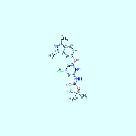 Cc1nn(C)c2cc(Oc3cc(Cl)cc(NC(=O)OC(C)(C)C)n3)ccc12